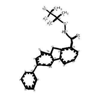 CCC(BOC(C)(C)C(C)(C)O)c1cccc2c1Cc1ccc(-c3ccccc3)cc1-2